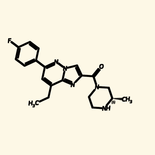 CCc1cc(-c2ccc(F)cc2)nn2cc(C(=O)N3CCN[C@@H](C)C3)nc12